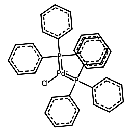 [Cl][Pd-](=[P](c1ccccc1)(c1ccccc1)c1ccccc1)=[P](c1ccccc1)(c1ccccc1)c1ccccc1